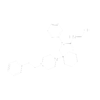 CCNC(=O)N(CC1(N2CCN(CCc3ccccc3)CC2)CCCCC1)c1ccccc1